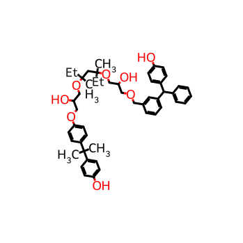 CCC(C)(CC(C)(CC)OCC(O)COc1ccc(C(C)(C)c2ccc(O)cc2)cc1)OCC(O)COCc1cccc(C(c2ccccc2)c2ccc(O)cc2)c1